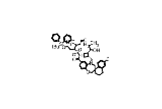 C=CCC(C)C(CCO[Si](c1ccccc1)(c1ccccc1)C(C)(C)C)S(=O)(=O)NC(=O)c1ccc2c(c1)N(C[C@@H]1CC[C@H]1C(O)C=C)C[C@@]1(CCCc3cc(Cl)ccc31)CO2